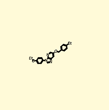 CCOc1ccc(-n2cnc3cc(OCc4ccc(CC)cc4)cnc32)cc1